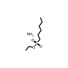 CCCCCCS(=O)(=O)OCC.N